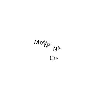 [Cu].[Mo+6].[N-3].[N-3]